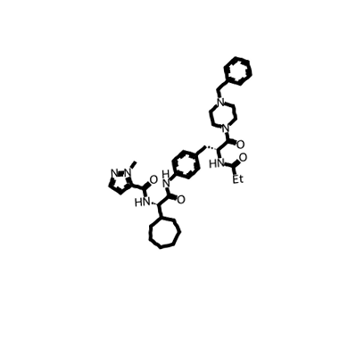 CCC(=O)N[C@H](Cc1ccc(NC(=O)[C@@H](NC(=O)c2ccnn2C)C2CCCCCC2)cc1)C(=O)N1CCN(Cc2ccccc2)CC1